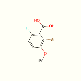 CC(C)Oc1ccc(F)c(B(O)O)c1Br